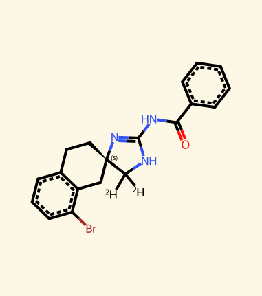 [2H]C1([2H])NC(NC(=O)c2ccccc2)=N[C@]12CCc1cccc(Br)c1C2